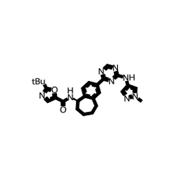 Cn1cc(Nc2ncnc(-c3ccc4c(c3)CCCC[C@H]4NC(=O)c3cnc(C(C)(C)C)o3)n2)cn1